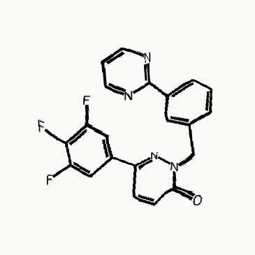 O=c1ccc(-c2cc(F)c(F)c(F)c2)nn1Cc1cccc(-c2ncccn2)c1